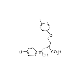 O=C(O)N(CCOc1ccc(I)cc1)C[C@@H](O)c1ccc(Cl)cc1